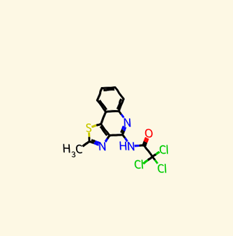 Cc1nc2c(NC(=O)C(Cl)(Cl)Cl)nc3ccccc3c2s1